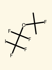 CC(C)(F)OC(F)(F)C(F)(F)I